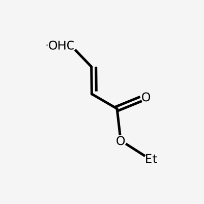 CCOC(=O)/C=C/[C]=O